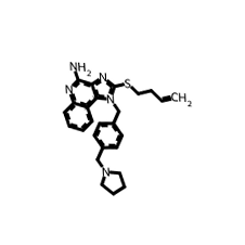 C=CCCSc1nc2c(N)nc3ccccc3c2n1Cc1ccc(CN2CCCC2)cc1